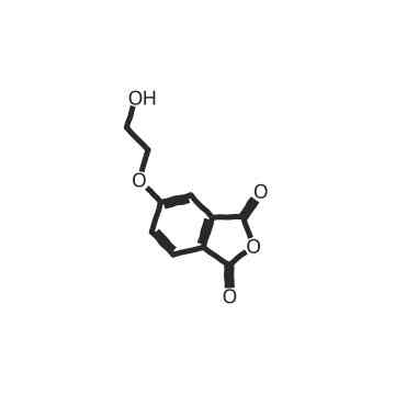 O=C1OC(=O)c2cc(OCCO)ccc21